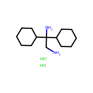 Cl.Cl.NCC(N)(C1CCCCC1)C1CCCCC1